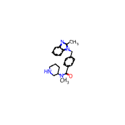 Cc1nc2ccccc2n1Cc1ccc(C(=O)N(C)C2CCCNC2)cc1